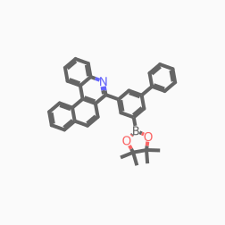 CC1(C)OB(c2cc(-c3ccccc3)cc(-c3nc4ccccc4c4c3ccc3ccccc34)c2)OC1(C)C